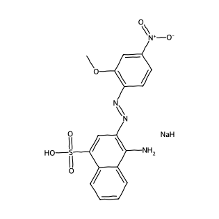 COc1cc([N+](=O)[O-])ccc1N=Nc1cc(S(=O)(=O)O)c2ccccc2c1N.[NaH]